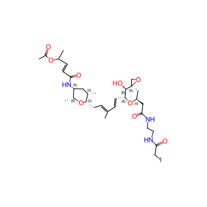 CC(=O)OC(C)C=CC(=O)N[C@@H]1C[C@H](C)[C@H](CC=C(C)C=C[C@H]2O[C@H](CC(=O)NCCNC(=O)CI)C[C@@]3(CO3)[C@@H]2O)O[C@@H]1C